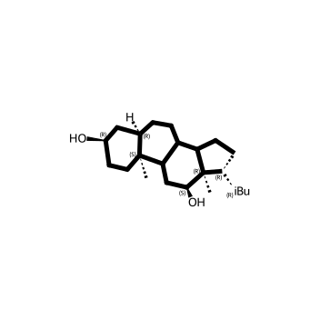 CC[C@@H](C)[C@H]1CCC2C3CC[C@@H]4C[C@H](O)CC[C@]4(C)C3C[C@H](O)[C@@]21C